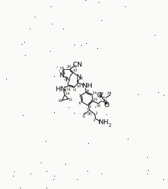 C[C@H](CCN)c1ccc(Nc2cc(NC3CC3)n3ncc(C#N)c3n2)cc1CS(C)(=O)=O